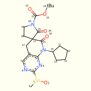 C[S+]([O-])c1ncc2c(n1)N(C1CCCC1)C(=O)C1(CCN(C(=O)OC(C)(C)C)C1=O)C2